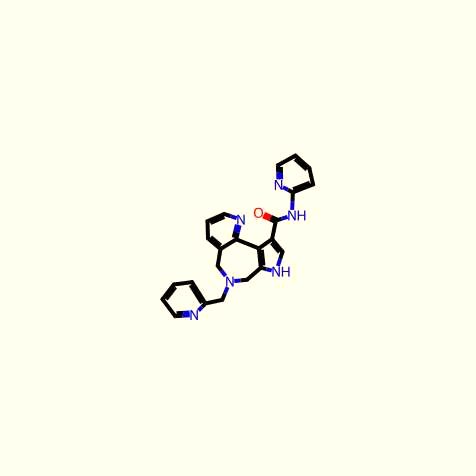 O=C(Nc1ccccn1)c1c[nH]c2c1-c1ncccc1CN(Cc1ccccn1)C2